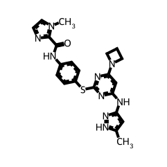 Cc1cc(Nc2cc(N3CCC3)nc(Sc3ccc(NC(=O)c4nccn4C)cc3)n2)n[nH]1